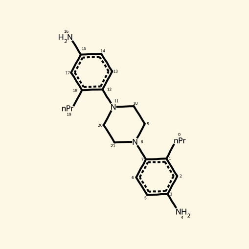 CCCc1cc(N)ccc1N1CCN(c2ccc(N)cc2CCC)CC1